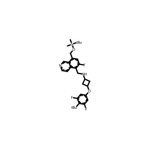 CC(C)(C)c1c(F)cc(OC2CC(NCc3c(F)cc(CO[Si](C)(C)C(C)(C)C)c4cnccc34)C2)cc1F